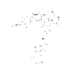 COC(=O)Cc1cccc(C(=O)NCc2ccc(-n3c(-c4cccnc4N)nc4ccc(-c5ccc(NC(C)=O)cc5)nc43)cc2)c1